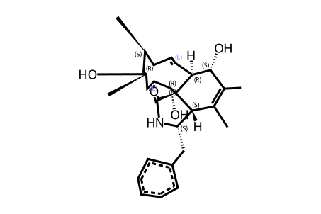 CC1=C(C)[C@@H]2[C@H](Cc3ccccc3)NC(=O)[C@]23[C@H](O)/C=C/[C@](C)(O)C[C@@H](C)C/C=C/[C@H]3[C@@H]1O